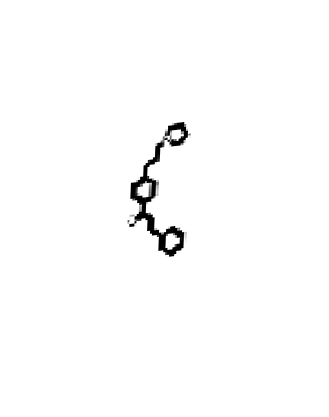 O=C(C=Cc1ccccc1)c1ccc(CCCN2CCCC2)cc1